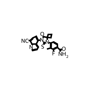 Cc1c(N2C(=S)N(c3ccc(C#N)c4ncccc34)C(=O)C23CCC3)ccc(C(N)=O)c1F